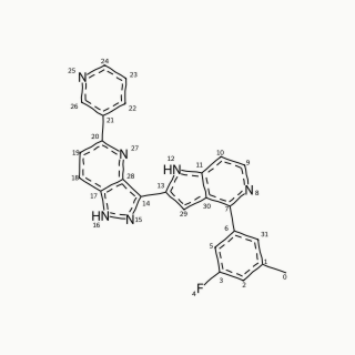 Cc1cc(F)cc(-c2nccc3[nH]c(-c4n[nH]c5ccc(-c6cccnc6)nc45)cc23)c1